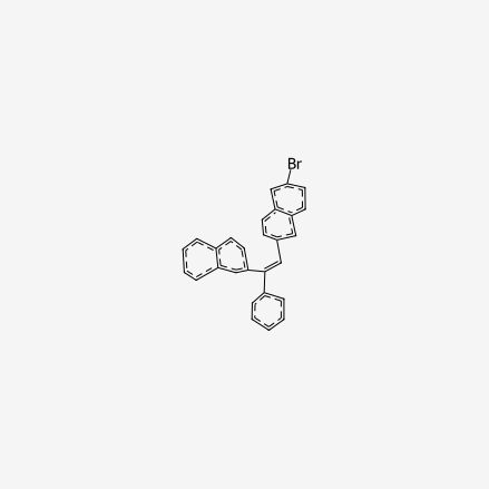 Brc1ccc2cc(/C=C(/c3ccccc3)c3ccc4ccccc4c3)ccc2c1